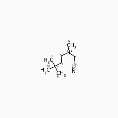 CN(CC#N)CCC(C)(C)C